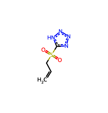 C=CCS(=O)(=O)c1nnn[nH]1